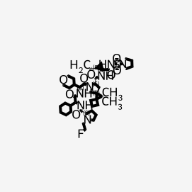 C=C[C@@H]1C[C@]1(NC(=O)[C@@H]1C[C@@]2(CN1C(=O)[C@@H](NC(=O)C(NC(=O)[C@@H]1CCCN1CCF)C1CCCCC1)C1CCOCC1)C(C)(C)C21CCC1)C(=O)NS(=O)(=O)N1CCCC1